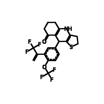 C=C(c1cc(C2C3=C(CCS3)NC3=C2C(=O)CCC3)ccc1OC(F)(F)F)C(F)(F)F